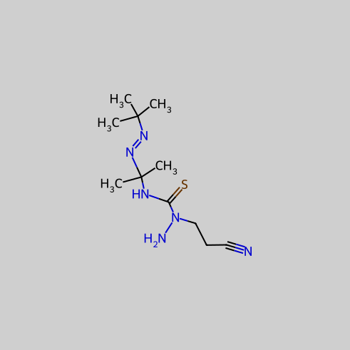 CC(C)(C)N=NC(C)(C)NC(=S)N(N)CCC#N